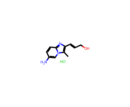 Cc1c(C=CCO)nc2ccc(N)cn12.Cl